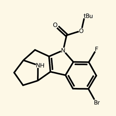 CC(C)(C)OC(=O)n1c2c(c3cc(Br)cc(F)c31)C1CCC(C2)N1